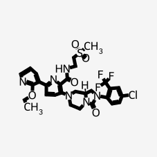 CCOc1ncccc1-c1ccc(N2CCN3C(=O)N(c4ccc(Cl)cc4C(F)(F)F)C[C@@H]3C2)c(C(=O)NCCS(C)(=O)=O)n1